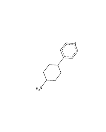 NC1CCC(c2ccncc2)CC1